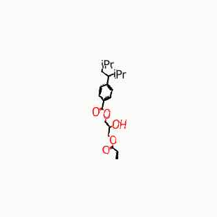 C=CC(=O)OCC(O)COC(=O)c1ccc(C(CC(C)C)C(C)C)cc1